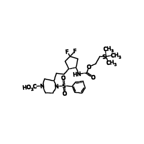 C[Si](C)(C)CCOC(=O)NC1CC(F)(F)CC1CCC1CN(C(=O)O)CCN1S(=O)(=O)c1ccccc1